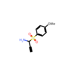 C#CC(N)S(=O)(=O)c1ccc(OC)cc1